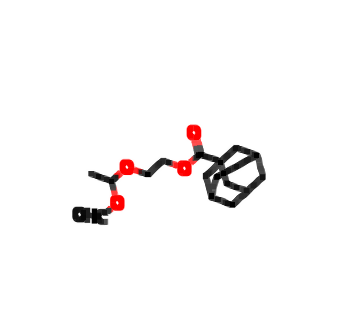 CC(OC=O)OCCOC(=O)C12CC3CC(CC(C3)C1)C2